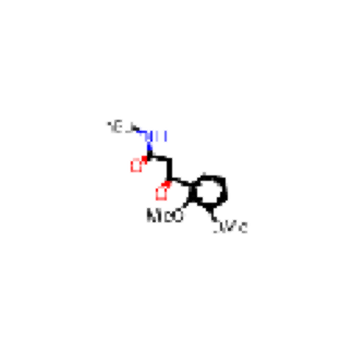 CCCCNC(=O)CC(=O)c1cccc(OC)c1OC